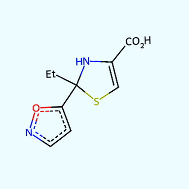 CCC1(c2ccno2)NC(C(=O)O)=CS1